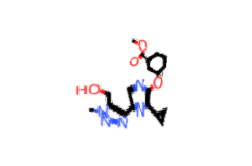 COC(=O)[C@H]1CCC[C@H](Oc2ncc(-c3nnn(C)c3CO)nc2C2CC2)C1